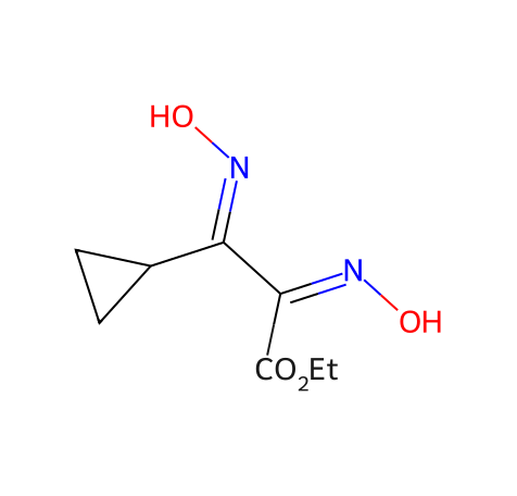 CCOC(=O)C(=N\O)/C(=N/O)C1CC1